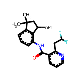 CCCC1CC(C)(C)c2cccc(NC(=O)c3cccnc3CC(F)F)c21